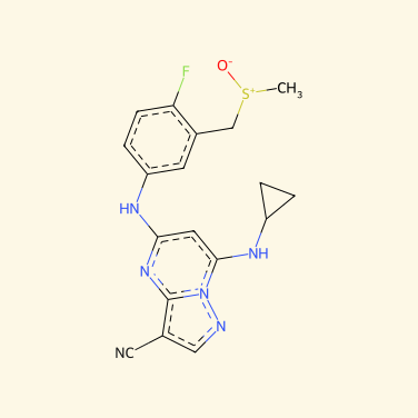 C[S+]([O-])Cc1cc(Nc2cc(NC3CC3)n3ncc(C#N)c3n2)ccc1F